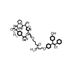 CC/C(=C(/c1ccc(O)cc1)c1ccc(OCCN(C)C(=O)CCCOCCOc2cc(C(C(=O)N3CCC[C@@H]3C3=NC(=O)[C@@](C)(c4ccc(-c5scnc5C)cc4)N3)C(C)C)on2)cc1)c1ccccc1